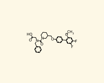 COc1cc(F)c(F)cc1-c1ccc(OCC2CCCN(C(=O)N(CC(=O)O)Cc3ccccc3)C2)cc1